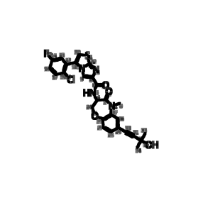 CN1C(=O)C(NC(=O)c2cn3c(-c4cc(F)ccc4Cl)csc3n2)COc2ccc(C#CC(C)(C)O)cc21